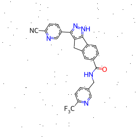 N#Cc1ccc(-c2n[nH]c3c2Cc2cc(C(=O)NCc4ccc(C(F)(F)F)nc4)ccc2-3)cn1